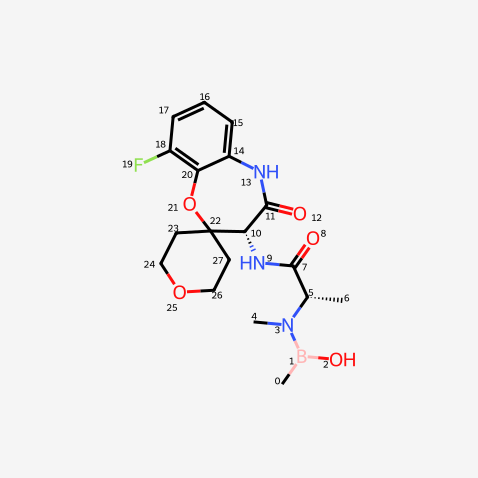 CB(O)N(C)[C@@H](C)C(=O)N[C@H]1C(=O)Nc2cccc(F)c2OC12CCOCC2